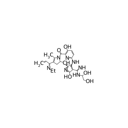 C=C/C(=N/CC)C1=C(C)N(C(=O)c2nc(Nc3snc(O)c3C(=N)NC(O)CO)ccc2O)C(C)C1